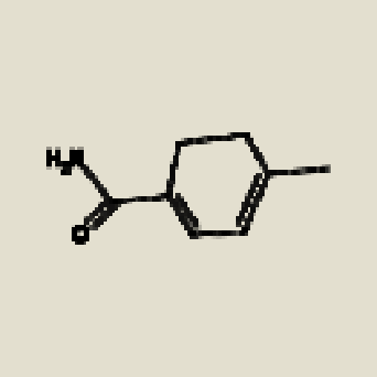 CC1=CC=C(C(N)=O)CC1